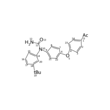 CC(=O)c1ccc(Oc2ccc(N(C(N)=O)c3cccc(C(C)(C)C)c3)cc2)cc1